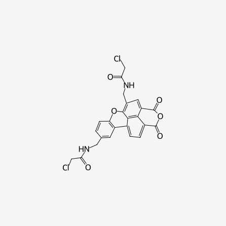 O=C(CCl)NCc1ccc2oc3c(CNC(=O)CCl)cc4c(=O)oc(=O)c5ccc(c2c1)c3c54